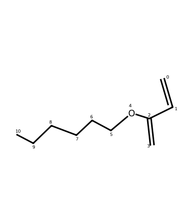 C=CC(=C)OCCCCCC